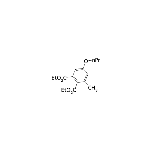 CCCOc1cc(C)c(C(=O)OCC)c(C(=O)OCC)c1